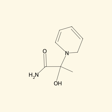 CC(O)(C(N)=O)N1C=CC=CC1